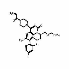 C=CC(=O)N1CCN(c2nc(=O)n3c4c(c(-c5ccc(F)cc5F)c(C(F)(F)F)cc24)SC[C@@H]3COCOC)CC1